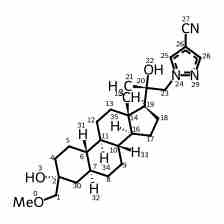 COC[C@@]1(O)CC[C@H]2[C@@H](CC[C@@H]3[C@@H]2CC[C@@]2(C)[C@H]3CC[C@@H]2[C@](C)(O)Cn2cc(C#N)cn2)C1